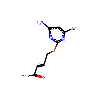 COC(=O)/C=C/CSc1nc(N)cc(SC)n1